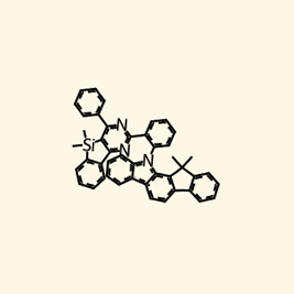 CC1(C)c2ccccc2-c2ccc3c4ccccc4n(-c4ccccc4-c4nc(-c5ccccc5)c5c(n4)-c4ccccc4[Si]5(C)C)c3c21